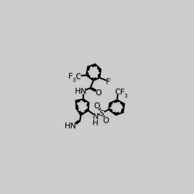 N=Cc1ccc(NC(=O)c2c(F)cccc2C(F)(F)F)cc1NS(=O)(=O)c1cccc(C(F)(F)F)c1